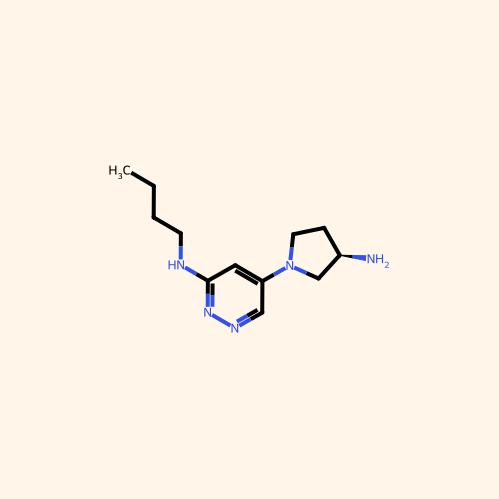 CCCCNc1cc(N2CC[C@@H](N)C2)cnn1